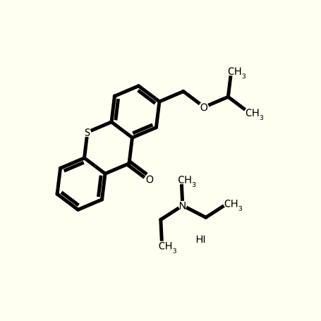 CC(C)OCc1ccc2sc3ccccc3c(=O)c2c1.CCN(C)CC.I